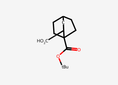 CC(C)(C)OC(=O)C12CCC(CC1)CC2C(=O)O